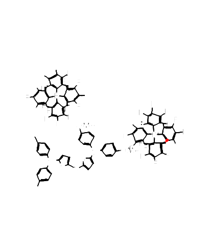 COc1ccc([S+](c2ccc(OC)cc2)c2ccc(Sc3ccc([S+](c4ccc(C)cc4)c4ccc(C)cc4)s3)s2)cc1.Fc1c(F)c(F)c([B-](c2c(F)c(F)c(F)c(F)c2F)(c2c(F)c(F)c(F)c(F)c2F)c2c(F)c(F)c(F)c(F)c2F)c(F)c1F.Fc1c(F)c(F)c([B-](c2c(F)c(F)c(F)c(F)c2F)(c2c(F)c(F)c(F)c(F)c2F)c2c(F)c(F)c(F)c(F)c2F)c(F)c1F